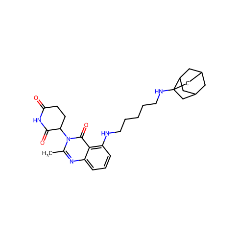 Cc1nc2cccc(NCCCCCNC34CC5CC(CC3C5)C4)c2c(=O)n1C1CCC(=O)NC1=O